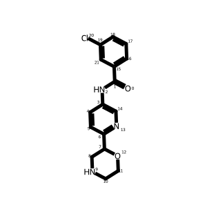 O=C(Nc1ccc(C2CNCCO2)nc1)c1cccc(Cl)c1